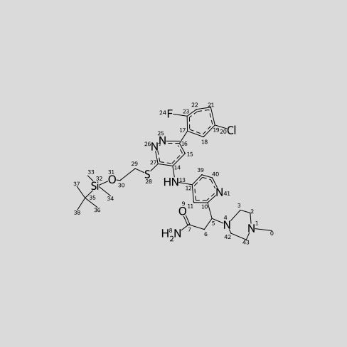 CN1CCN(C(CC(N)=O)c2cc(Nc3cc(-c4cc(Cl)ccc4F)nnc3SCCO[Si](C)(C)C(C)(C)C)ccn2)CC1